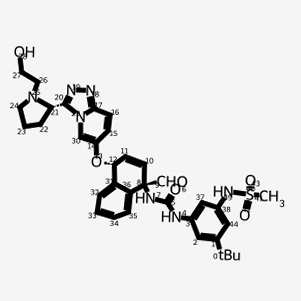 CC(C)(C)c1cc(NC(=O)N[C@@]2(C=O)C=C[C@@H](Oc3ccc4nnc([C@@H]5CCCN5CCO)n4c3)c3ccccc32)cc(NS(C)(=O)=O)c1